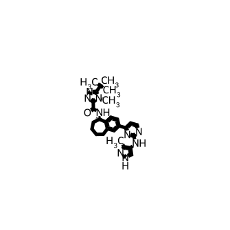 Cc1n[nH]cc1Nc1nccc(-c2ccc3c(c2)CCCC[C@H]3NC(=O)c2nnc(C(C)(C)C)n2C)n1